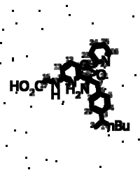 CCCCC(C)c1ccc(CC(N)(c2cccc(NCC(=O)O)n2)S(=O)(=O)c2ccccn2)cc1